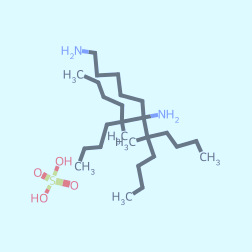 CCCCC(C)(CCCC)C(N)(CCCCCN)C(C)(CCCC)CCCC.O=S(=O)(O)O